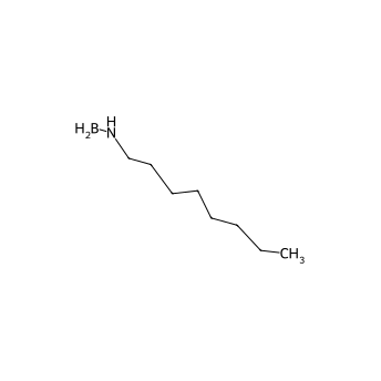 BNCCCCCCCC